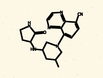 CC1CC(NC2CCNC2=O)CN(c2ccc(C#N)c3nccnc23)C1